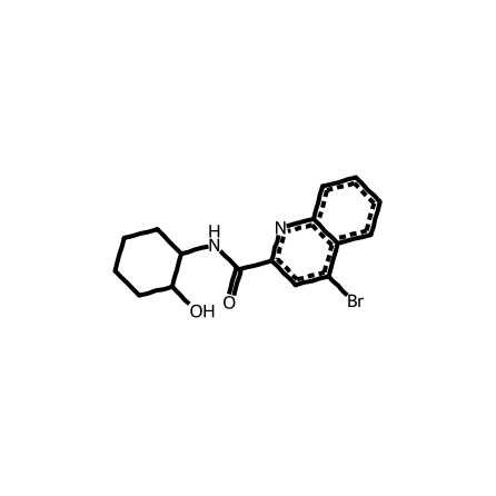 O=C(NC1CCCCC1O)c1cc(Br)c2ccccc2n1